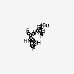 CC(C)(C)OC(=O)N1C[C@@H]2CC(F)(F)CN2c2cc(N3CCC4(CC3)C[C@@H](CC(=O)NC(Cc3ccc(F)c(F)c3)C3CNCCO3)c3ccc(F)cc34)ccc21